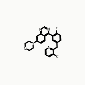 Fc1ccc(Cc2ncccc2Cl)cc1-c1ncnc2cc(N3CCOCC3)ccc12